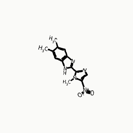 Cc1cc2nc(-c3ncc([N+](=O)[O-])n3C)[nH]c2cc1C